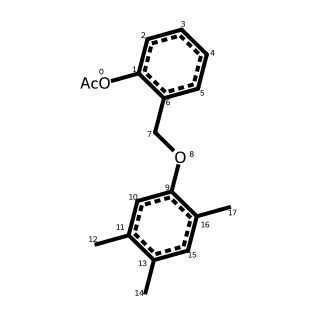 CC(=O)Oc1ccccc1COc1cc(C)c(C)cc1C